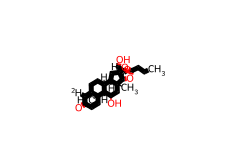 [2H]C1=C2CC[C@@H]3[C@H]([C@@H](O)C[C@@]4(C)[C@H]3C[C@H]3OC(CCC)O[C@]34C(=O)CO)[C@@]2(C)C=CC1=O